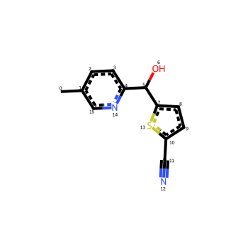 Cc1ccc(C(O)c2ccc(C#N)s2)nc1